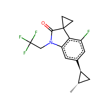 C[C@H]1C[C@@H]1c1cc(F)c2c(c1)N(CC(F)(F)F)C(=O)C21CC1